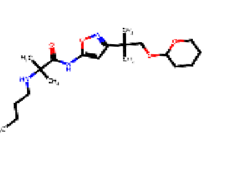 CC(C)(NCCCC(F)(F)F)C(=O)Nc1cc(C(C)(C)COC2CCCCO2)no1